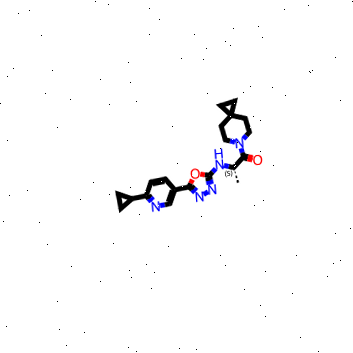 C[C@H](Nc1nnc(-c2ccc(C3CC3)nc2)o1)C(=O)N1CCC2(CC1)CC2